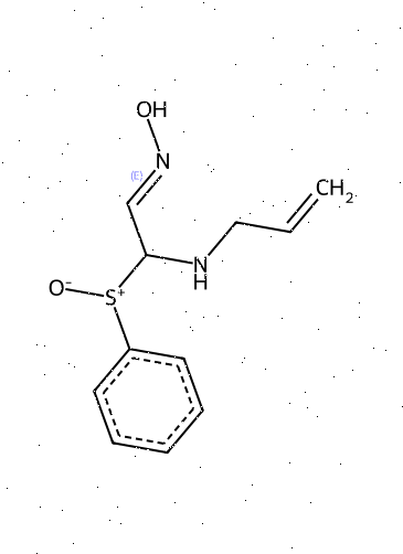 C=CCNC(/C=N/O)[S+]([O-])c1ccccc1